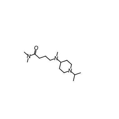 CC(C)N1CCC(N(C)CCCC(=O)N(C)C)CC1